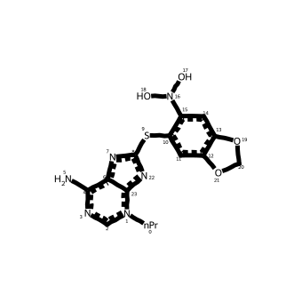 CCCn1cnc(N)c2nc(Sc3cc4c(cc3N(O)O)OCO4)nc1-2